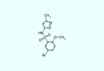 COc1ccc(Br)cc1S(=O)(=O)Nc1cc(C)no1